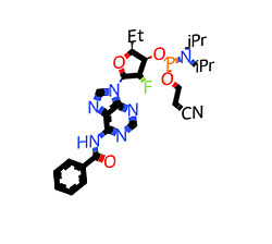 CC[C@H]1O[C@@H](n2cnc3c(NC(=O)c4ccccc4)ncnc32)C(F)[C@H]1OP(OCCC#N)N(C(C)C)C(C)C